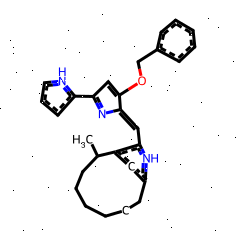 CC1CCCCCCc2cc1c(C=C1N=C(c3ccc[nH]3)C=C1OCc1ccccc1)[nH]2